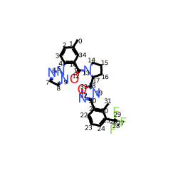 Cc1ccc(-n2nccn2)c(C(=O)N2CCCC2c2nc(-c3cccc(C(F)(F)F)c3C)no2)c1